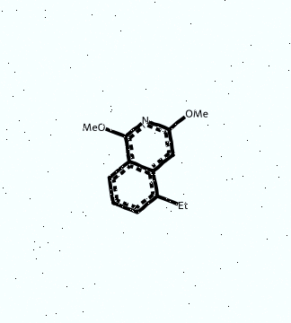 CCc1cccc2c(OC)nc(OC)cc12